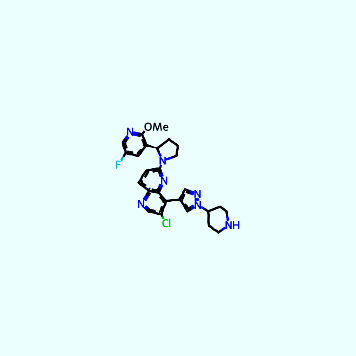 COc1ncc(F)cc1[C@H]1CCCN1c1ccc2ncc(Cl)c(-c3cnn(C4CCNCC4)c3)c2n1